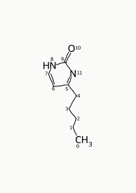 CCCCCc1cc[nH]c(=O)n1